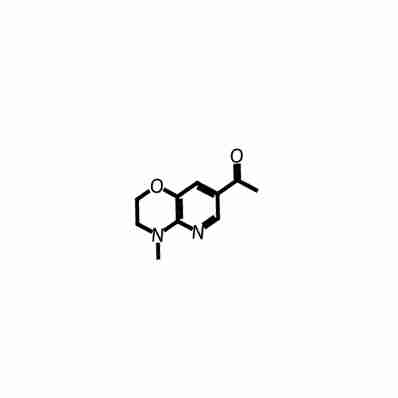 CC(=O)c1cnc2c(c1)OCCN2C